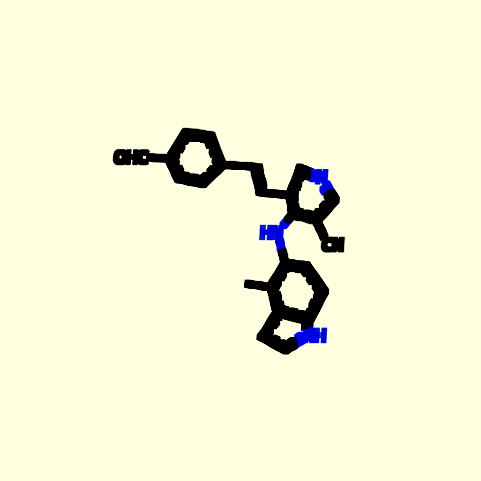 Cc1c(Nc2c(C#N)cncc2/C=C/c2ccc(C=O)cc2)ccc2[nH]ccc12